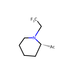 CC(=O)[C@@H]1CCCCN1CC(F)(F)F